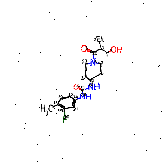 CCC(CO)C(=O)N1CCC(NC(=O)Nc2ccc(C)c(F)c2)CC1